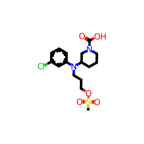 CS(=O)(=O)OCCCN(c1cccc(Cl)c1)C1CCCN(C(=O)O)C1